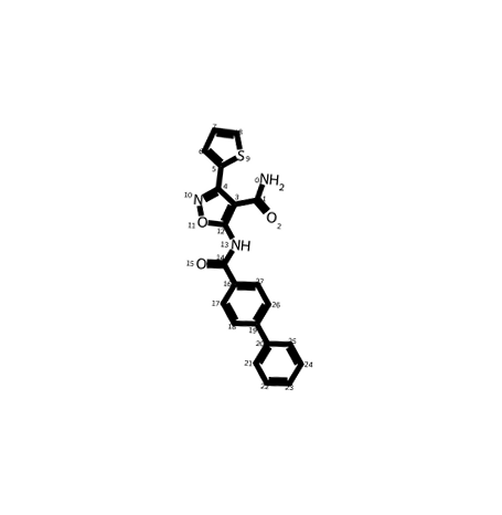 NC(=O)c1c(-c2cccs2)noc1NC(=O)c1ccc(-c2ccccc2)cc1